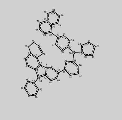 C1=Cc2c(ccc3c2c2cc(-c4cccc(N(c5ccccc5)c5ccc(-c6cccc7ccccc67)cc5)c4)ccc2n3-c2ccccc2)CC1